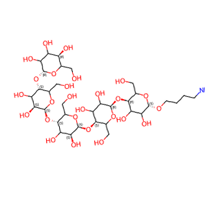 NCCCCO[C@H]1OC(CO)[C@H](O[C@H]2OC(CO)[C@@H](O[C@@H]3OC(CO)[C@@H](O[C@@H]4OC(CO)[C@@H](O[C@H]5OC(CO)[C@H](O)C(O)C5O)C(O)[C@@H]4O)C(O)[C@@H]3O)C(O)C2O)C(O)C1O